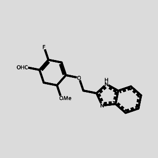 COC1CC(C=O)=C(F)C=C1OCc1nc2ccccc2[nH]1